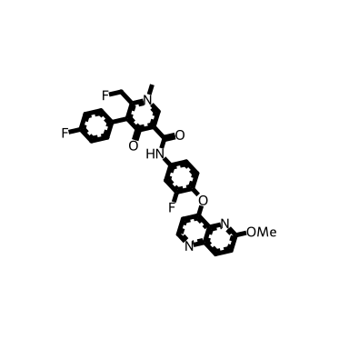 COc1ccc2nccc(Oc3ccc(NC(=O)c4cn(C)c(CF)c(-c5ccc(F)cc5)c4=O)cc3F)c2n1